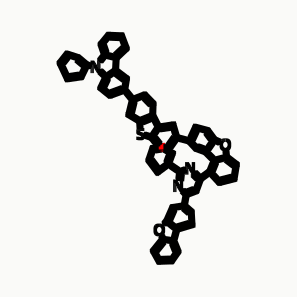 c1ccc(-c2nc(-c3ccc4c(c3)oc3ccccc34)cc(-c3cccc4oc5ccc(-c6ccc7sc8cc(-c9ccc%10c(c9)c9ccccc9n%10-c9ccccc9)ccc8c7c6)cc5c34)n2)cc1